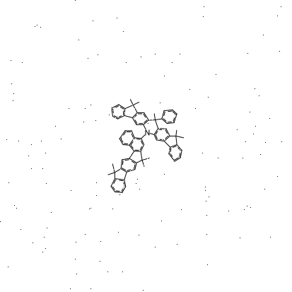 CC1(C)c2ccccc2-c2cc3c(cc21)-c1c(cc(N2c4cc5c(cc4C(C)(c4ccccc4)c4cc6c(cc42)-c2ccccc2C6(C)C)C(C)(C)c2ccccc2-5)c2ccccc12)C3(C)C